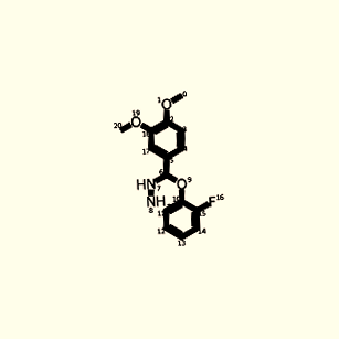 COc1ccc(C(NN)Oc2ccccc2F)cc1OC